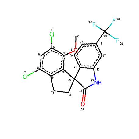 COc1c(Cl)cc(Cl)c2c1C1(CC2)C(=O)Nc2cc(C(F)(F)F)ccc21